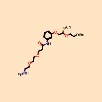 CCNCCOCCOCCC(=O)Nc1cccc(OCC(OCCOCC(C)C)SC#N)c1